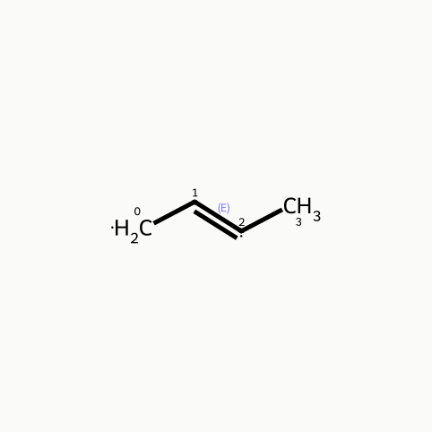 [CH2]/C=[C]/C